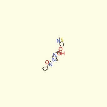 Cc1nc2cc(OC[C@H](O)CN3CCN(CC4=NC(c5ccccc5)OC4)[C@@H](C)C3)ccc2s1